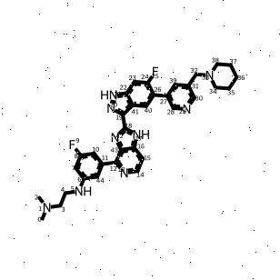 CN(C)CCNc1cc(F)cc(-c2nccc3[nH]c(-c4n[nH]c5cc(F)c(-c6cncc(CN7CCCCC7)c6)cc45)nc23)c1